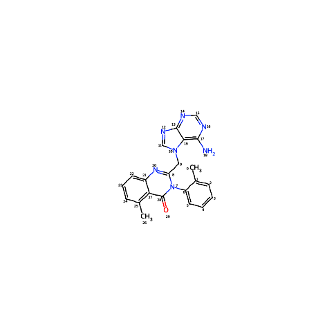 Cc1ccccc1-n1c(Cn2cnc3ncnc(N)c32)nc2cccc(C)c2c1=O